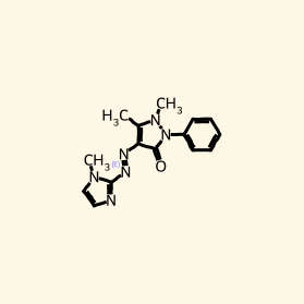 Cc1c(/N=N/c2nccn2C)c(=O)n(-c2ccccc2)n1C